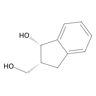 OC[C@H]1Cc2ccccc2[C@H]1O